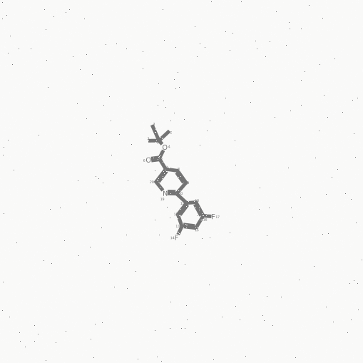 CC(C)(C)OC(=O)c1ccc(-c2cc(F)cc(F)c2)nc1